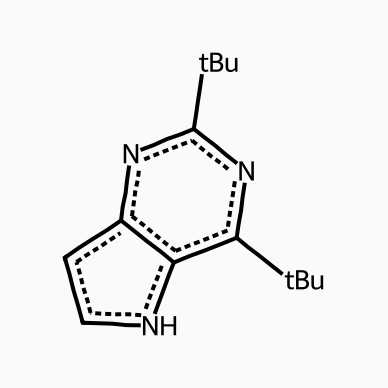 CC(C)(C)c1nc(C(C)(C)C)c2[nH]ccc2n1